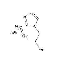 Br.C=C.CC(C)CCn1ccnc1